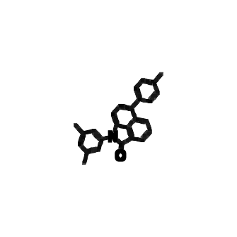 Cc1ccc(-c2ccc3c4c(cccc24)C(=O)N3c2cc(C)cc(C)c2)cc1